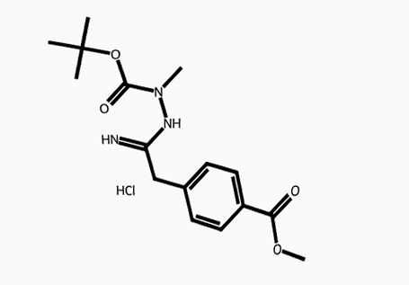 COC(=O)c1ccc(CC(=N)NN(C)C(=O)OC(C)(C)C)cc1.Cl